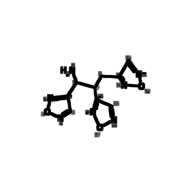 NC(c1cnon1)C(Cc1cnon1)c1cnon1